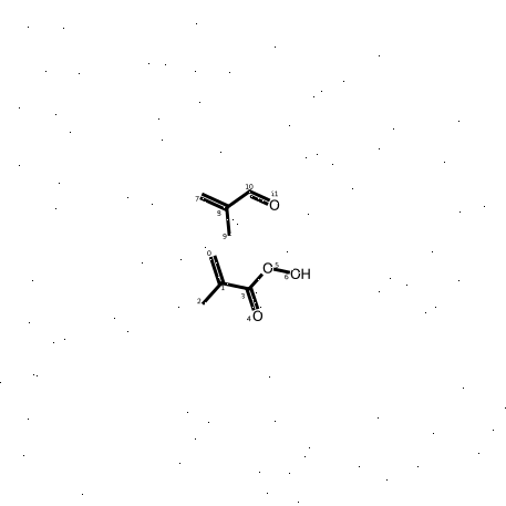 C=C(C)C(=O)OO.C=C(C)C=O